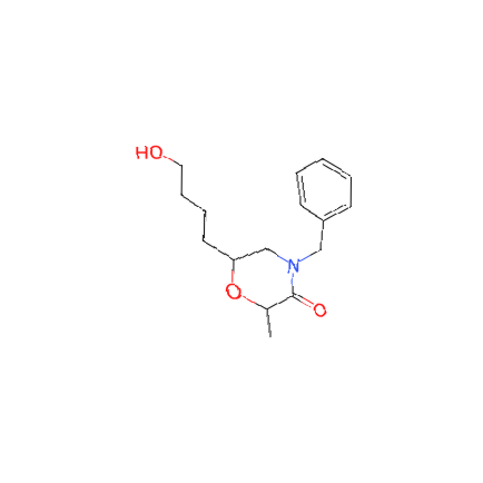 CC1OC(CCCCO)CN(Cc2ccccc2)C1=O